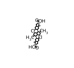 Cc1ccc2c(-c3cc4sc(C(=O)O)cc4cc3Cl)c(C)ccc2c1-c1cc2sc(C(=O)O)cc2cc1Cl